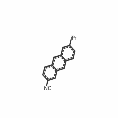 [C-]#[N+]c1ccc2cc3cc(C(C)C)ccc3cc2c1